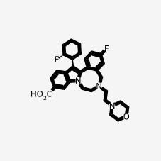 O=C(O)c1ccc2c([C@@H]3CCCC[C@H]3F)c3n(c2c1)CCN(CCN1CCOCC1)Cc1cc(F)ccc1-3